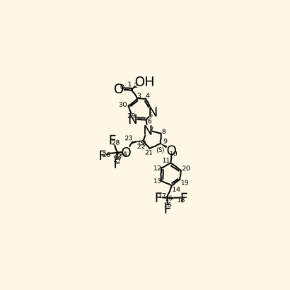 O=C(O)c1cnc(N2C[C@@H](Oc3ccc(C(F)(F)F)cc3)C[C@H]2COC(F)(F)F)nc1